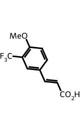 COc1ccc(/C=C/C(=O)O)cc1C(F)(F)F